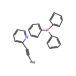 [Au][C]#Cc1ccccn1.c1ccc(P(c2ccccc2)c2ccccc2)cc1